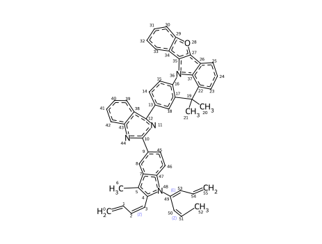 C=C/C=C\c1c(C)c2cc(-c3nc(-c4ccc5c(c4)C(C)(C)c4cccc6c7oc8ccccc8c7n-5c46)c4ccccc4n3)ccc2n1C(/C=C\C)=C/C=C